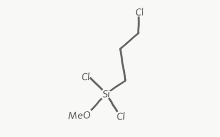 CO[Si](Cl)(Cl)CCCCl